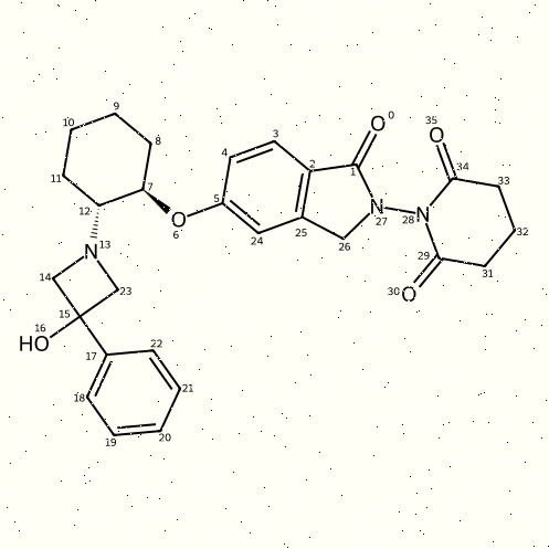 O=C1c2ccc(O[C@@H]3CCCC[C@H]3N3CC(O)(c4ccccc4)C3)cc2CN1N1C(=O)CCCC1=O